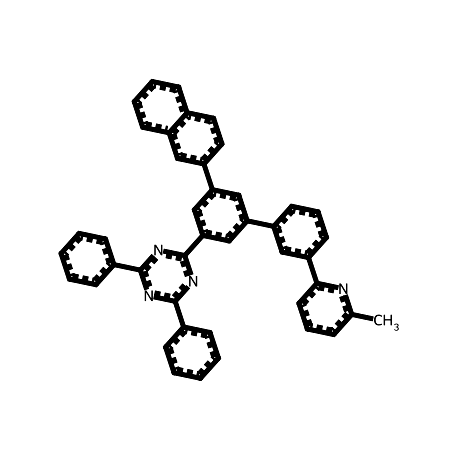 Cc1cccc(-c2cccc(-c3cc(-c4ccc5ccccc5c4)cc(-c4nc(-c5ccccc5)nc(-c5ccccc5)n4)c3)c2)n1